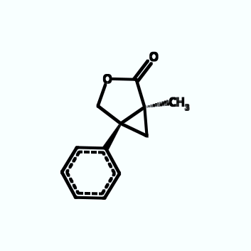 C[C@]12C[C@]1(c1ccccc1)COC2=O